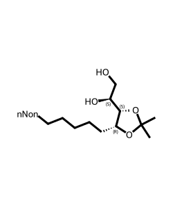 CCCCCCCCCCCCCC[C@H]1OC(C)(C)O[C@H]1[C@@H](O)CO